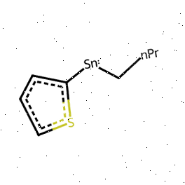 CCC[CH2][Sn][c]1cccs1